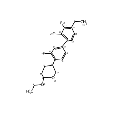 CCOC1CCC(c2ccc(-c3ccc(CC)c(F)c3F)cc2F)CO1